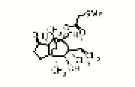 C=C[C@]1(C)C[C@@H](OC(=O)CSC)[C@]2(C)C(C)CC[C@]3(CCC(=O)[C@H]32)[C@@H](C)[C@@H]1O